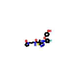 Cc1c(C(=O)NCCCN2CCCC2=O)sc2ncnc(Nc3ccc(F)cc3O[C@H]3CC[C@H](O)CC3)c12